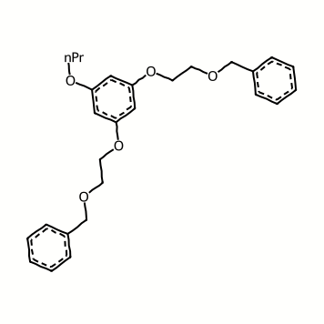 CCCOc1cc(OCCOCc2ccccc2)cc(OCCOCc2ccccc2)c1